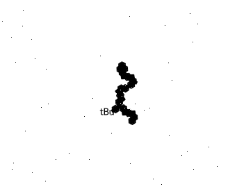 Cc1cc2c(c3cc(-c4ccc5c6c(ccc5c4)C(C)(C)c4cc5c(cc4-6)C(C)(C)c4cc(N(c6ccc(C(C)(C)C)cc6)c6ccc7c(c6)C(C)(C)c6cc8c(cc6-7)C(C)(C)c6ccc7ccccc7c6-8)ccc4-5)ccc13)-c1cc3c(cc1C2(C)C)-c1c(cc2ccc4cccc5ccc1c2c45)C3(C)C